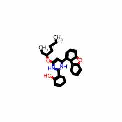 CCCCC(CC)OC1=CC(C2=CC=CC3OC4=C(CCC=C4)C23)NC(C2=C(O)C=CCC2)N1